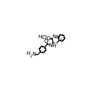 Cl.NCc1ccc(C(=O)N[C@@H](Cc2ccccc2)C(N)=O)cc1